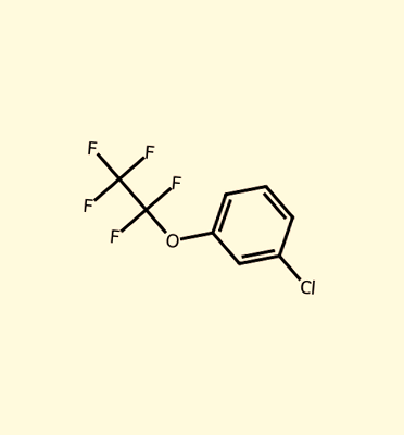 FC(F)(F)C(F)(F)Oc1cccc(Cl)c1